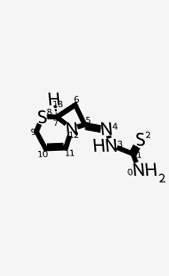 NC(=S)NN=C1C[C@@H]2SCC=CN12